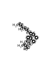 CC(=O)CC(=O)C(=O)[O-].CC(=O)CC(=O)C(=O)[O-].CC(=O)CC(=O)C(=O)[O-].CC(=O)CC(=O)C(=O)[O-].[Ir+4].c1ccc(-c2ccc3ccccc3n2)cc1.c1ccc(-c2ccc3ccccc3n2)cc1